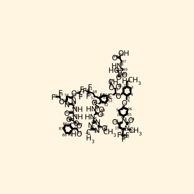 CCc1ccc(COc2ccc(-n3c(=O)cc(C(F)(F)F)n(C)c3=O)cc2)c(OC(C)C(=O)OC)c1.COc1nc(C)nc(NC(=O)NS(=O)(=O)c2ccccc2CCC(F)(F)F)n1.O=C(Nc1nc(OC(F)F)cc(OC(F)F)n1)NS(=O)(=O)c1ccccc1C(=O)O.O=C(O)CNCP(=O)(O)O